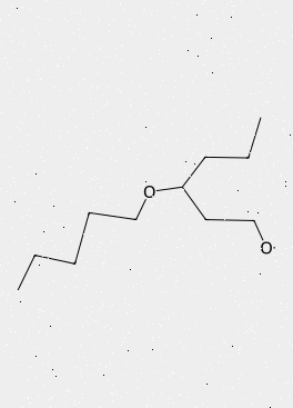 CCCCCOC(CCC)CC[O]